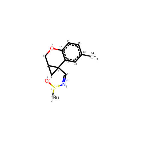 CC(C)(C)[S+]([O-])/N=C\C12CC1COc1ccc(C(F)(F)F)cc12